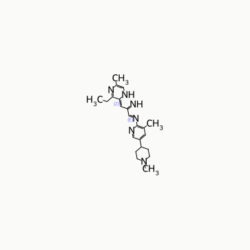 CCC1=NC(C)=CN/C1=C\C(=N)/C=N/c1ncc(C2CCN(C)CC2)cc1C